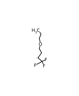 CCCOCC[CH]C(F)(F)F